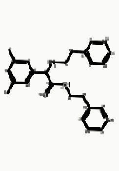 Cc1cc(C)cc(C(NCCc2cccnc2)C(=O)NCCc2cccnc2)c1